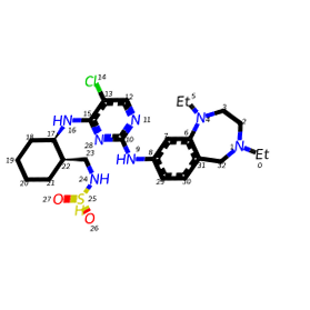 CCN1CCN(CC)c2cc(Nc3ncc(Cl)c(N[C@@H]4CCCC[C@@H]4CN[SH](=O)=O)n3)ccc2C1